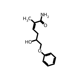 CC(=CCC(O)COc1ccccc1)C(N)=O